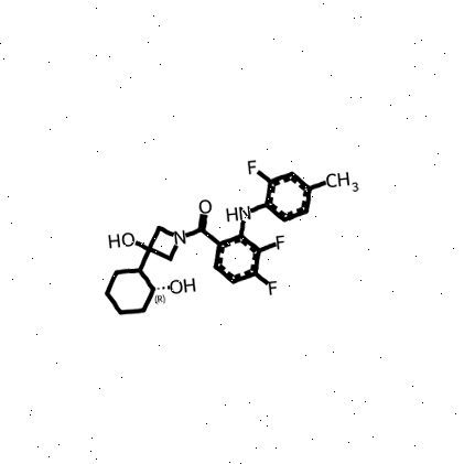 Cc1ccc(Nc2c(C(=O)N3CC(O)(C4CCCC[C@H]4O)C3)ccc(F)c2F)c(F)c1